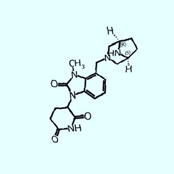 Cn1c(=O)n(C2CCC(=O)NC2=O)c2cccc(CN3C[C@H]4CC[C@@H](C3)N4)c21